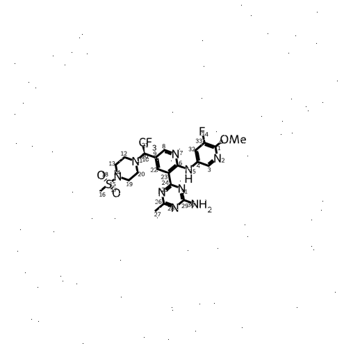 COc1ncc(Nc2ncc([C@@H](N3CCN(S(C)(=O)=O)CC3)C(F)(F)F)cc2-c2nc(C)nc(N)n2)cc1F